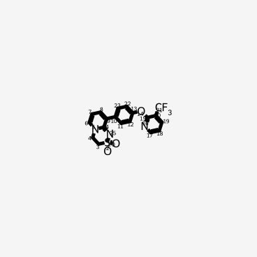 O=S1(=O)CCN2C=CC=C(c3ccc(Oc4ncccc4C(F)(F)F)cc3)C2=N1